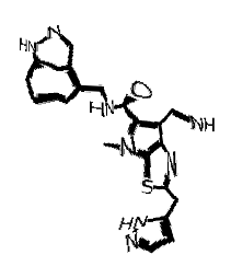 Cn1c(C(=O)NCc2cccc3[nH]ncc23)c(C=N)c2nc(Cc3ccn[nH]3)sc21